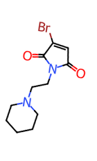 O=C1C=C(Br)C(=O)N1CCN1CCCCC1